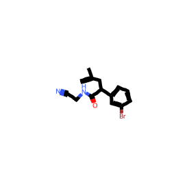 C=C(C)CC(C(=O)NCC#N)c1cccc(Br)c1